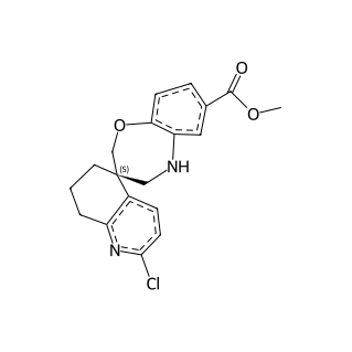 COC(=O)c1ccc2c(c1)NC[C@@]1(CCCc3nc(Cl)ccc31)CO2